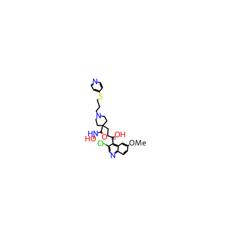 COc1ccc2ncc(Cl)c([C@H](O)CCC3(C(=O)NO)CCN(CCCSc4ccncc4)CC3)c2c1